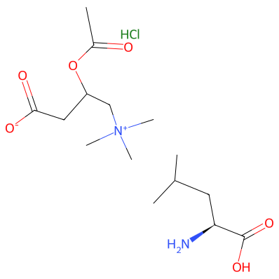 CC(=O)OC(CC(=O)[O-])C[N+](C)(C)C.CC(C)C[C@H](N)C(=O)O.Cl